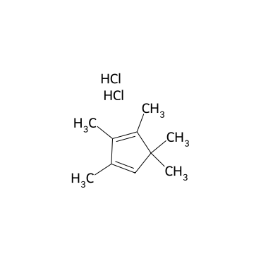 CC1=CC(C)(C)C(C)=C1C.Cl.Cl